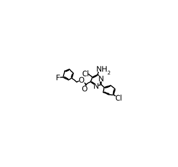 Nc1nc(-c2ccc(Cl)cc2)nc(C(=O)OCc2cccc(F)c2)c1Cl